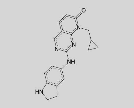 O=c1ccc2cnc(Nc3ccc4c(c3)CCN4)nc2n1CC1CC1